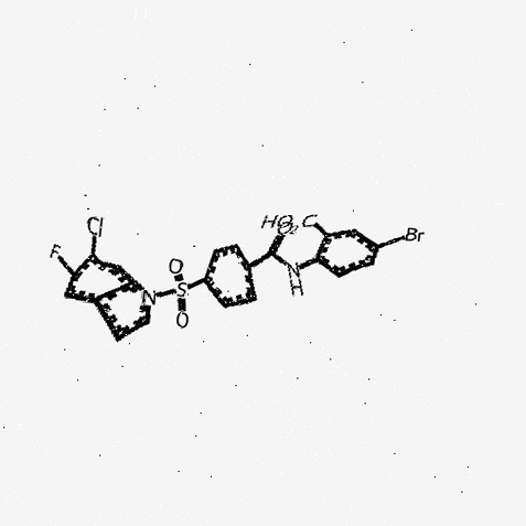 O=C(Nc1ccc(Br)cc1C(=O)O)c1ccc(S(=O)(=O)n2ccc3cc(F)c(Cl)cc32)cc1